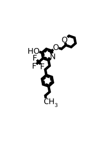 CCCc1ccc(CCc2nc(OCC3CCCCO3)cc(O)c2C(F)(F)F)cc1